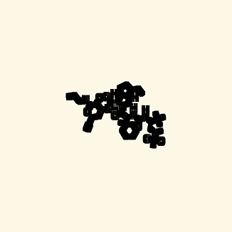 C#CCCC(NC(=O)[C@@H]1[C@H]2CCC(CC)[C@H]2CN1C(=O)[C@@H](NC(=O)N[C@H](CN(C)S(C)(=O)=O)C(C)(C)C)C1(C)CCCCC1)C(=O)C(=O)/N=C/C=C